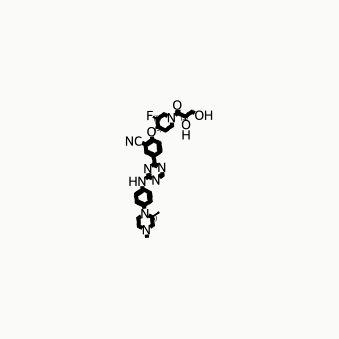 C[C@H]1CN(C)CCN1c1ccc(Nc2ncnc(-c3ccc(O[C@H]4CCN(C(=O)[C@@H](O)CO)C[C@@H]4F)c(C#N)c3)n2)cc1